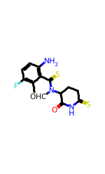 Cc1c(F)ccc(N)c1C(=S)N(C=O)C1CCC(=S)NC1=O